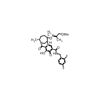 COC/C(C)=N/O[C@]1(C)CC[C@H](C)N2C[C@@H]1n1cc(C(=O)NCc3ccc(F)cc3F)c(=O)c(O)c1C2=O